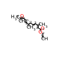 C#CCOC(=O)C=C(C)C=CCC(C)CCC1OC1(C)C